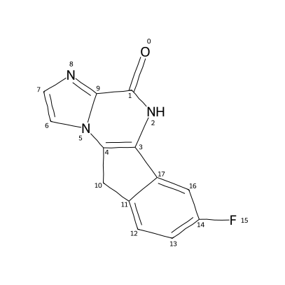 O=c1[nH]c2c(n3ccnc13)Cc1ccc(F)cc1-2